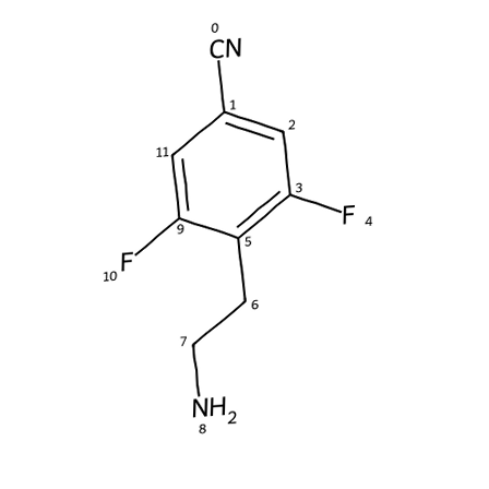 N#Cc1cc(F)c(CCN)c(F)c1